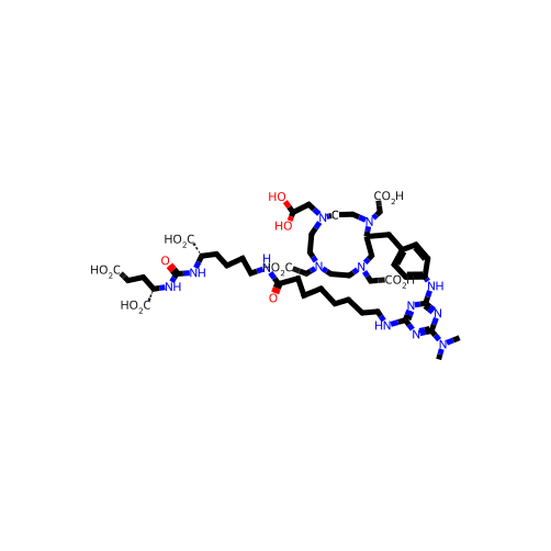 CN(C)c1nc(NCCCCCCCC(=O)NCCCC[C@H](NC(=O)N[C@@H](CCC(=O)O)C(=O)O)C(=O)O)nc(Nc2ccc(CC3CN(CC(=O)O)CCN(CC(=O)O)CCN(CC(O)O)CCN3CC(=O)O)cc2)n1